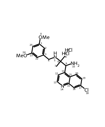 COc1cc(CNC(C)(C)C(N)c2ccnc3cc(Cl)ccc23)cc(OC)c1.Cl.Cl